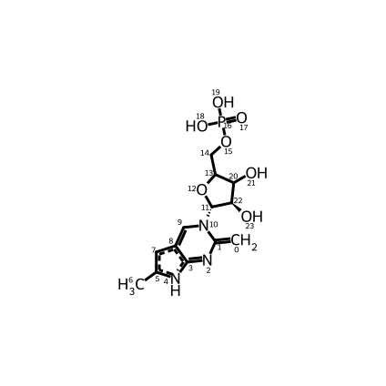 C=C1N=c2[nH]c(C)cc2=CN1[C@@H]1OC(COP(=O)(O)O)C(O)[C@H]1O